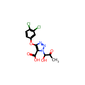 CC(=O)C(O)n1nnc(Oc2ccc(Cl)c(Cl)c2)c1C(=O)O